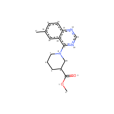 COC(=O)C1CCCN(c2ncnc3ccc(C)cc23)C1